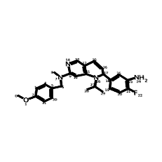 COc1ccc(CN(C)c2cc3c(cn2)C=CC(c2ccc(F)c(N)c2)N3C(C)C)cc1